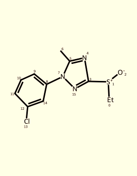 [CH2]C[S+]([O-])c1nc(C)n(-c2cccc(Cl)c2)n1